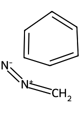 C=[N+]=[N-].c1ccccc1